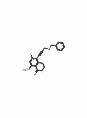 CC(=O)Nc1cc(F)c(C#CCOCc2ccccc2)c2c1C(=O)CCC2